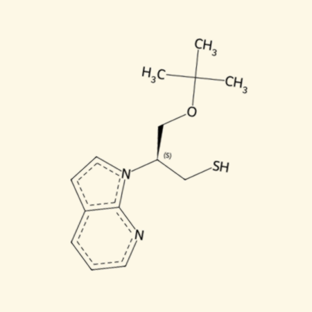 CC(C)(C)OC[C@@H](CS)n1ccc2cccnc21